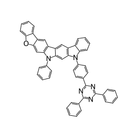 c1ccc(-c2nc(-c3ccccc3)nc(-c3ccc(-n4c5ccccc5c5cc6c7cc8c(cc7n(-c7ccccc7)c6cc54)oc4ccccc48)cc3)n2)cc1